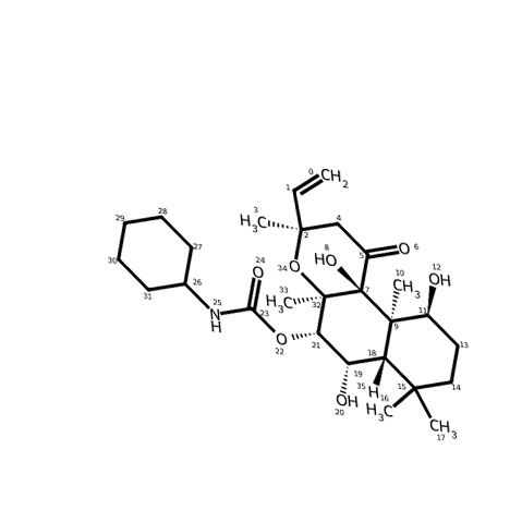 C=C[C@@]1(C)CC(=O)[C@]2(O)[C@@]3(C)[C@@H](O)CCC(C)(C)[C@@H]3[C@H](O)[C@H](OC(=O)NC3CCCCC3)[C@@]2(C)O1